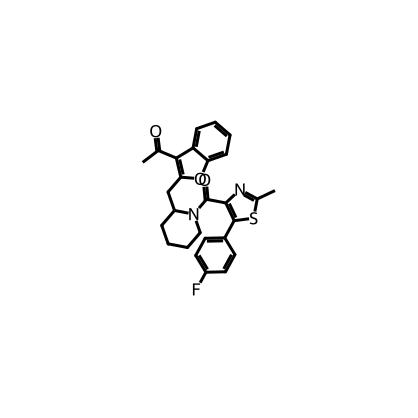 CC(=O)c1c(CC2CCCCN2C(=O)c2nc(C)sc2-c2ccc(F)cc2)oc2ccccc12